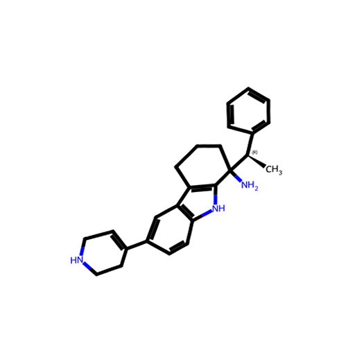 C[C@H](c1ccccc1)C1(N)CCCc2c1[nH]c1ccc(C3=CCNCC3)cc21